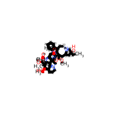 CCC12C=CCN3CC[C@@]4(c5cc([C@@]6(C(=O)OC)CC7C[N@](CCc8c6[nH]c6ccccc86)C[C@](O)(CC)C7)c(OC)cc5N(C=O)[C@H]4[C@@](C)(C(=O)OC)[C@@H]1O)[C@@H]32